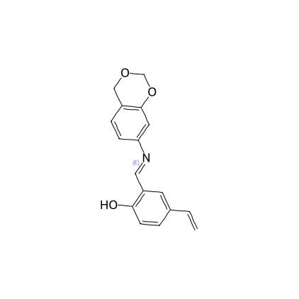 C=Cc1ccc(O)c(/C=N/c2ccc3c(c2)OCOC3)c1